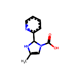 CC1=CN(C(=O)O)C(c2ccccn2)N1